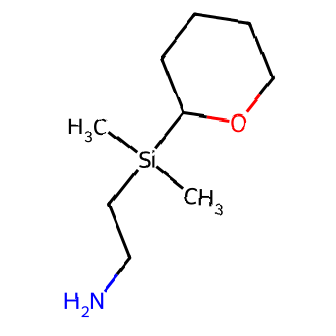 C[Si](C)(CCN)C1CCCCO1